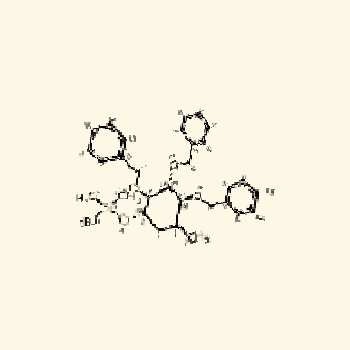 CC1C[C@H](O[Si](C)(C)C(C)(C)C)C(OCc2ccccc2)[C@H](OCc2ccccc2)[C@H]1OCc1ccccc1